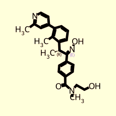 Cc1cc(-c2cccc([C@@H](C)/C(=N\O)c3ccc(C(=O)N(C)CCO)cc3)c2C)ccn1